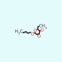 CCCCCOC1OC(CC)C(=O)C2OC12